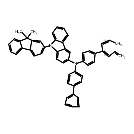 C=C/C=C(\C=C/C)c1ccc(N(c2ccc(-c3ccccc3)cc2)c2ccc3c(c2)c2ccccc2n3-c2ccc3c(c2)C(C)(C)c2ccccc2-3)cc1